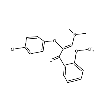 CN(C)/C=C(\Oc1ccc(Cl)cc1)C(=O)c1ccccc1OC(F)(F)F